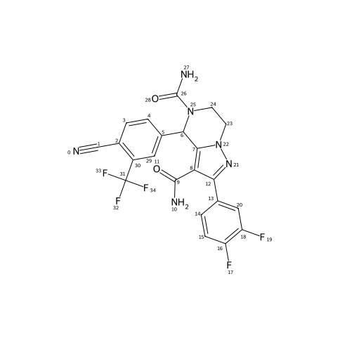 N#Cc1ccc(C2c3c(C(N)=O)c(-c4ccc(F)c(F)c4)nn3CCN2C(N)=O)cc1C(F)(F)F